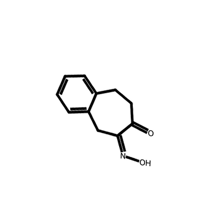 O=C1CCc2ccccc2C/C1=N/O